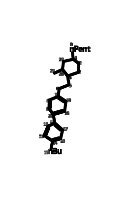 CCCCCC1CCC(CCc2ccc(-c3ccc(CCCC)cc3)cc2)C(C)C1